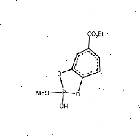 CCOC(=O)c1ccc2c(c1)O[P](O)(OC)O2